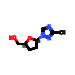 N#Cc1ncn([C@H]2CC[C@@H](CO)O2)n1